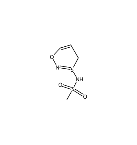 CS(=O)(=O)NS1=NOC=CC1